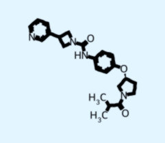 CC(C)C(=O)N1CC[C@@H](Oc2ccc(NC(=O)N3CC(c4cccnc4)C3)cc2)C1